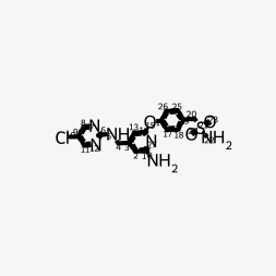 Nc1cc(CNc2ncc(Cl)cn2)cc(Oc2ccc(CS(N)(=O)=O)cc2)n1